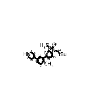 Cc1ccc(C2=CCNCC2)cc1-c1ccc2c(n1)n(C)c(=O)n2CC(C)(C)C